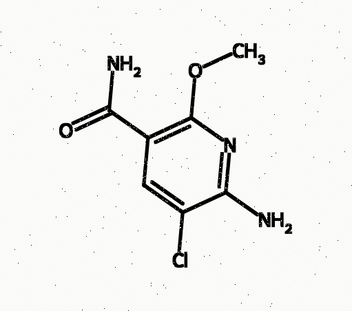 COc1nc(N)c(Cl)cc1C(N)=O